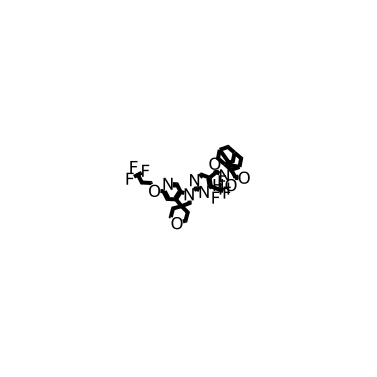 O=C(NC1(C(=O)O)C2CC3CC(C2)CC1C3)c1cnc(N2CC3(CCOCC3)c3cc(OCCC(F)(F)F)ncc32)nc1C(F)(F)F